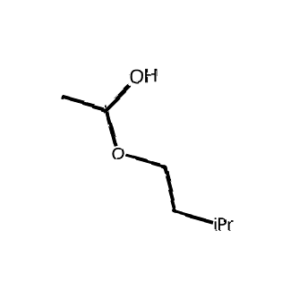 C[C](O)OCCC(C)C